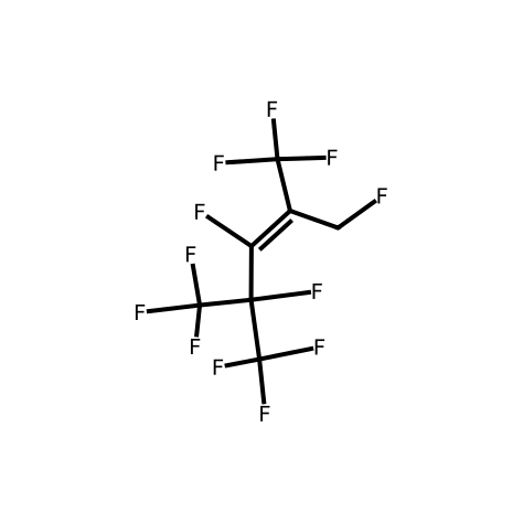 FC/C(=C(/F)C(F)(C(F)(F)F)C(F)(F)F)C(F)(F)F